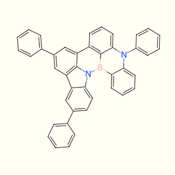 c1ccc(-c2ccc3c(c2)c2cc(-c4ccccc4)cc4c2n3B2c3ccccc3N(c3ccccc3)c3cccc-4c32)cc1